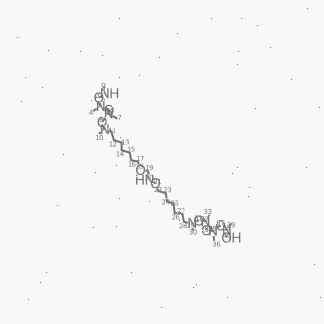 CNON(C)ON(C)ON(C)CCCCCCCOCNOCCCCCCCN(C)ON(C)ON(C)ON(C)O